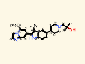 COc1cc(-c2[nH]c3ccc(C4CCN(CC(C)(C)O)CC4)cc3c2C(C)C)cc2nccn12